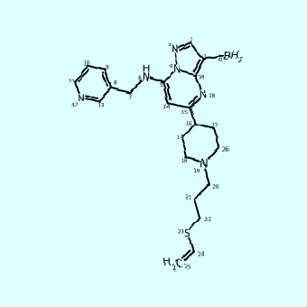 Bc1cnn2c(NCc3cccnc3)cc(C3CCN(CCCSC=C)CC3)nc12